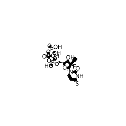 C#C[C@@]1(F)C(O)[C@@H](COP(=O)(O)OP(=O)(O)OP(=O)(O)O)O[C@H]1n1ccc(=S)[nH]c1=O